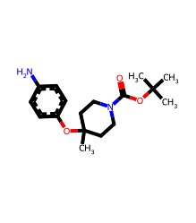 CC(C)(C)OC(=O)N1CCC(C)(Oc2ccc(N)cc2)CC1